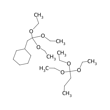 CCCC(OCC)(OCC)OCC.CCOC(CC1CCCCC1)(OCC)OCC